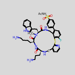 CC(=O)NS(=O)(=O)c1ccc(-c2ccc(F)c3c2CNC(=O)[C@H](Cc2c[nH]c4ccccc24)N(C)C(=O)[C@H](CCCCN)NC(=O)[C@H](CCCN)NCc2cccnc2S3)cc1